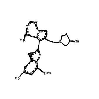 COc1cc(C)cc2cc(-c3c(CN4CCC(O)C4)cn4ncnc(N)c34)sc12